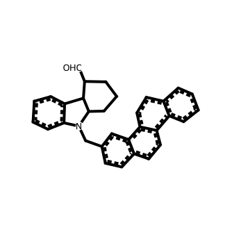 O=CC1CCCC2C1c1ccccc1N2Cc1ccc2ccc3c4ccccc4ccc3c2c1